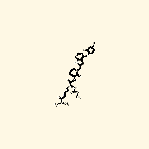 COC(=O)N[C@@H](CC/C=C/C(=O)N(C)C)C(=O)Nc1cccn(Cc2nc3c(Oc4ccc(F)cc4F)ncnc3[nH]2)c1=O